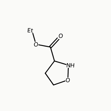 CCOC(=O)C1CCON1